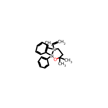 C=C[Si]1(C=C)CCC(C)(C)O[Si]1(c1ccccc1)c1ccccc1